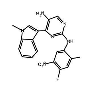 Cc1cc(F)c([N+](=O)[O-])cc1Nc1ncc(N)c(-c2cn(C)c3ccccc23)n1